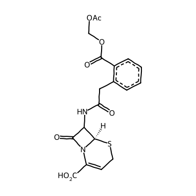 CC(=O)OCOC(=O)c1ccccc1CC(=O)NC1C(=O)N2C(C(=O)O)=CCS[C@H]12